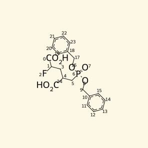 O=C(O)C(F)CC(CP(=O)(OCc1ccccc1)OCc1ccccc1)C(=O)O